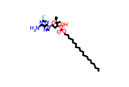 C#C[C@]1(CO)O[C@@H](n2cnc3c(N)nc(F)nc32)C[C@@H]1OC(=O)OCCCCCCCCCCCCCCCCCCC